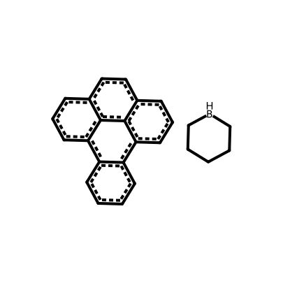 B1CCCCC1.c1ccc2c(c1)c1cccc3ccc4cccc2c4c31